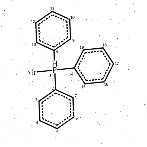 [Ir][PH](c1ccccc1)(c1ccccc1)c1ccccc1